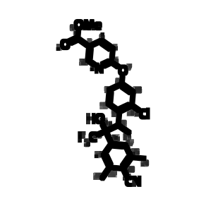 COC(=O)c1ccc(Oc2ccc(C(C)C(O)(c3cc(C)c(C#N)c(C)c3)C(F)(F)F)c(Cl)c2)nc1